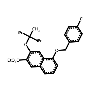 CCOC(=O)c1cc2cccc(OCc3ccc(Cl)cc3)c2cc1OC(C)(C(C)C)C(C)C